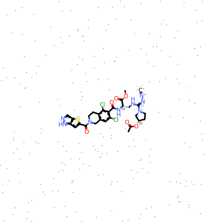 [C-]#[N+]/N=C(\NC[C@H](NC(=O)c1c(Cl)cc2c(c1Cl)CCN(C(=O)c1cc3[nH]ncc3s1)C2)C(=O)OC)N1CC[C@H](OC(C)=O)C1